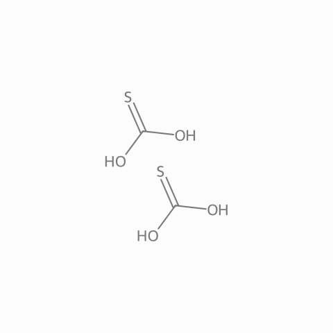 OC(O)=S.OC(O)=S